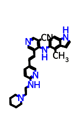 Cc1c(Nc2c(C#N)cncc2C=Cc2ccc(NCCN3CCCCC3)nc2)ccc2[nH]ccc12